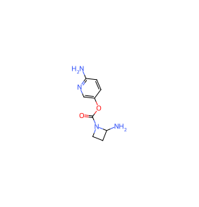 Nc1ccc(OC(=O)N2CCC2N)cn1